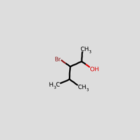 CC(C)C(Br)C(C)O